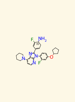 N[C@H]1CC=C(c2nc3c(N4CCCCC4)ccnc3n2-c2ccc(OC3CCCC3)cc2F)C=C1F